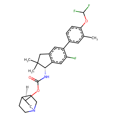 Cc1cc(-c2cc3c(cc2F)[C@H](NC(=O)O[C@H]2CN4CCC2CC4)C(C)(C)C3)ccc1OC(F)F